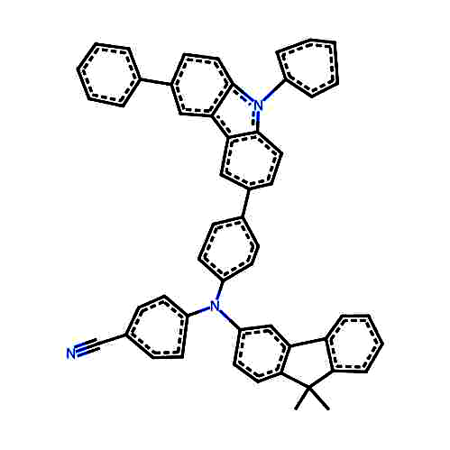 CC1(C)c2ccccc2-c2cc(N(c3ccc(C#N)cc3)c3ccc(-c4ccc5c(c4)c4cc(-c6ccccc6)ccc4n5-c4ccccc4)cc3)ccc21